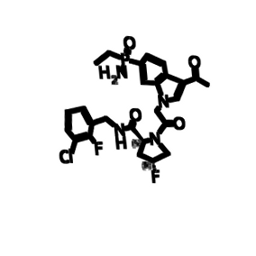 CCP(N)(=O)c1ccc2c(C(C)=O)cn(CC(=O)N3C[C@H](F)C[C@H]3C(=O)NCc3cccc(Cl)c3F)c2c1